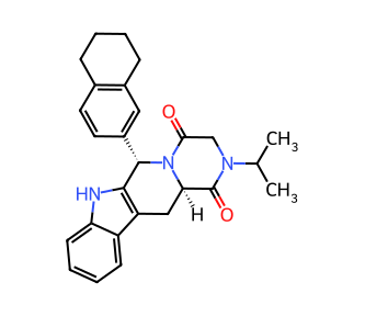 CC(C)N1CC(=O)N2[C@@H](c3ccc4c(c3)CCCC4)c3[nH]c4ccccc4c3C[C@@H]2C1=O